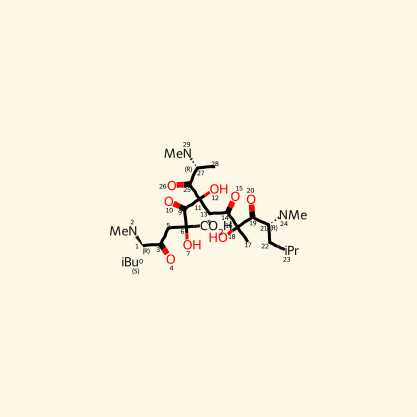 CC[C@H](C)[C@@H](NC)C(=O)CC(O)(C(=O)O)C(=O)C(O)(CC(=O)C(C)(O)C(=O)[C@@H](CC(C)C)NC)C(=O)[C@@H](C)NC